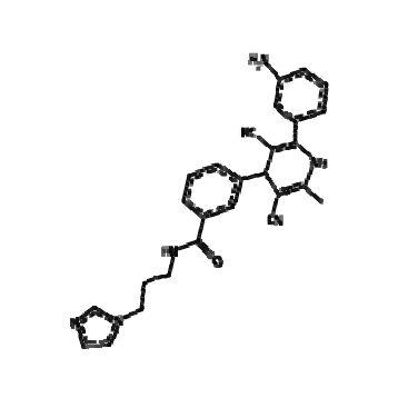 CC1=C(C#N)C(c2cccc(C(=O)NCCCn3ccnc3)c2)C(C#N)=C(c2cccc(N)c2)N1